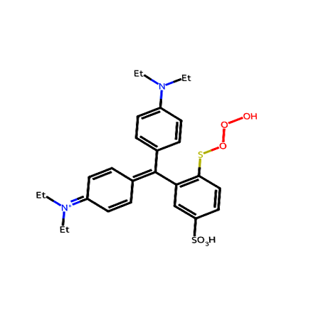 CCN(CC)c1ccc(C(=C2C=CC(=[N+](CC)CC)C=C2)c2cc(S(=O)(=O)O)ccc2SOOO)cc1